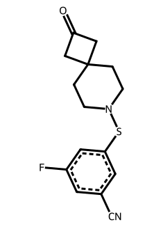 N#Cc1cc(F)cc(SN2CCC3(CC2)CC(=O)C3)c1